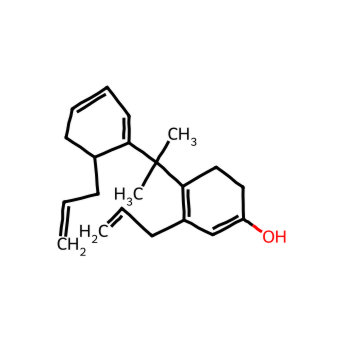 C=CCC1=C(C(C)(C)C2=CC=CCC2CC=C)CCC(O)=C1